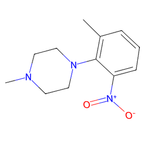 Cc1cccc([N+](=O)[O-])c1N1CCN(C)CC1